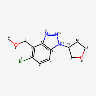 COCc1c(Br)ccc2c1nnn2C1CCOC1